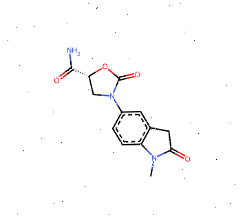 CN1C(=O)Cc2cc(N3C[C@H](C(N)=O)OC3=O)ccc21